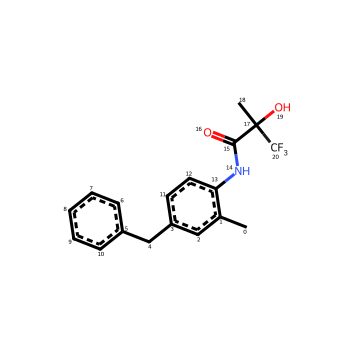 Cc1cc(Cc2ccccc2)ccc1NC(=O)C(C)(O)C(F)(F)F